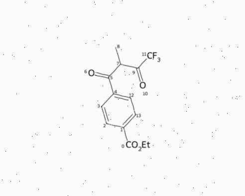 CCOC(=O)c1ccc(C(=O)C(C)C(=O)C(F)(F)F)cc1